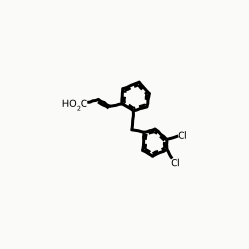 O=C(O)C=Cc1ccccc1Cc1ccc(Cl)c(Cl)c1